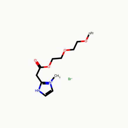 CCCOCCOCCOC(=O)Cc1[nH]cc[n+]1C.[Br-]